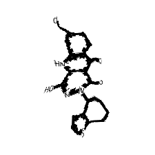 O=c1c2ccc(Cl)cc2[nH]c2c(O)nn(C3CCCc4sccc43)c(=O)c12